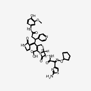 COc1cc(NC(=O)CC(C(=C2CCNC2=O)C2=C(C(=O)O)N3C(=O)[C@@H](NC(=O)C(=NOC4CCCC4)c4csc(N)n4)[C@H]3SC2)c2ccncc2)ccc1O